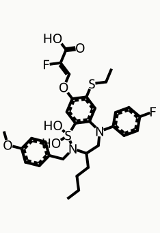 CCCCC1CN(c2ccc(F)cc2)c2cc(SCC)c(OC=C(F)C(=O)O)cc2S(O)(O)N1Cc1ccc(OC)cc1